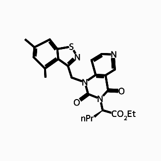 CCC[C@H](C(=O)OCC)n1c(=O)c2cnccc2n(Cc2nsc3cc(C)cc(C)c23)c1=O